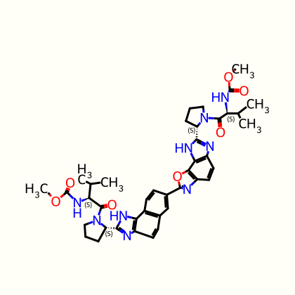 COC(=O)N[C@H](C(=O)N1CCC[C@H]1c1nc2ccc3cc(-c4nc5ccc6nc([C@@H]7CCCN7C(=O)[C@@H](NC(=O)OC)C(C)C)[nH]c6c5o4)ccc3c2[nH]1)C(C)C